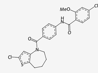 COc1cc(Cl)ccc1C(=O)Nc1ccc(C(=O)N2CCCCc3sc(Cl)cc32)cc1